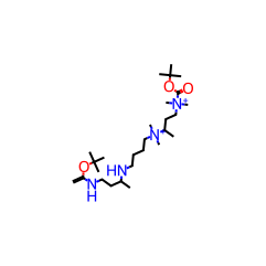 C=C(NCCC(C)NCCCC[N+](C)(C)C(C)CC[N+](C)(C)C(=O)OC(C)(C)C)OC(C)(C)C